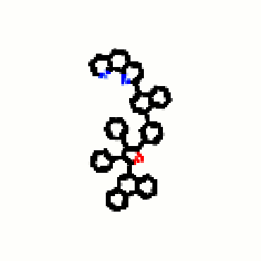 c1ccc(-c2c(-c3cccc(-c4ccc(-c5ccc6ccc7cccnc7c6n5)c5ccccc45)c3)oc(-c3cc4ccccc4c4ccccc34)c2-c2ccccc2)cc1